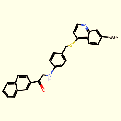 CSc1ccc2c(SCc3ccc(NCC(=O)c4ccc5ccccc5c4)cc3)ccnc2c1